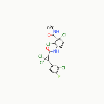 CCCNC(=O)c1c(Cl)ccc(NC(=O)C2C(c3ccc(F)c(Cl)c3)C2(Cl)Cl)c1Cl